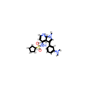 CN(C)c1cccc(-c2cn(C)c3nccc(NS(=O)(=O)C4CCCC4)c23)c1